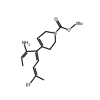 C\C=C(N)/C(=C\C=C(/C)CC)C1=CCN(C(=O)OC(C)(C)C)CC1